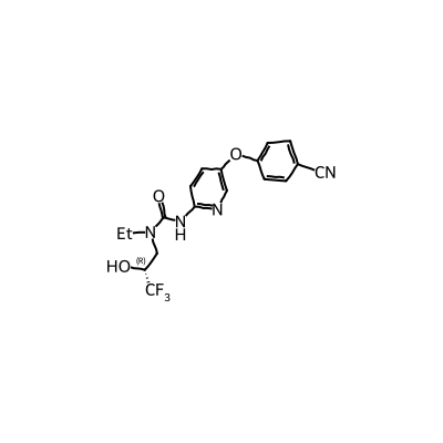 CCN(C[C@@H](O)C(F)(F)F)C(=O)Nc1ccc(Oc2ccc(C#N)cc2)cn1